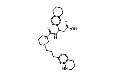 O=C(O)CC(NC(=O)[C@@H]1CCCN(CCCc2ccc3c(n2)NCCC3)C1)c1ccc2c(c1)CCCC2